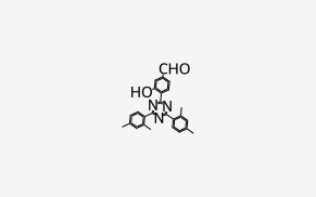 Cc1ccc(-c2nc(-c3ccc(C)cc3C)nc(-c3ccc(C=O)cc3O)n2)c(C)c1